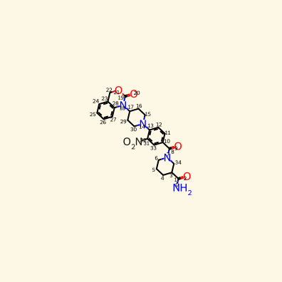 NC(=O)C1CCCN(C(=O)c2ccc(N3CCC(N4C(=O)OCc5ccccc54)CC3)c([N+](=O)[O-])c2)C1